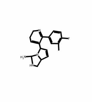 Cc1cc(C2=NCCC=C2C2C=CC3CNC(N)N32)ccc1F